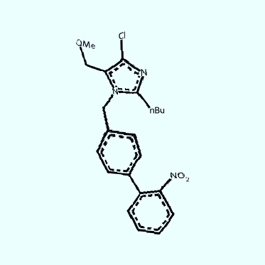 CCCCc1nc(Cl)c(COC)n1Cc1ccc(-c2ccccc2[N+](=O)[O-])cc1